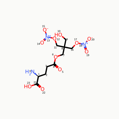 N[C@@H](CCC(=O)OCC(CO)(CO[N+](=O)[O-])CO[N+](=O)[O-])C(=O)O